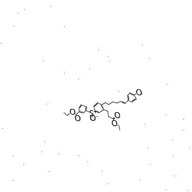 CCOC(=O)CCc1cc([S+]([O-])c2cccc(C(=O)OCC)c2)ccc1CCCCC=Cc1ccc(OC)cc1